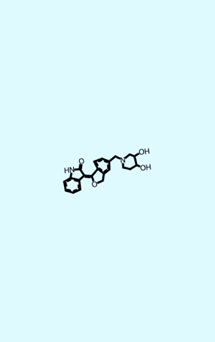 O=C1Nc2ccccc2C1=C1OCc2cc(CN3CCC(O)C(O)C3)ccc21